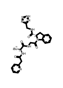 CC[C@H](C)[C@H](NC(=O)Cc1ccccn1)C(=O)NCC(=O)N1c2ccccc2C[C@H]1C(=O)NCc1nn[nH]n1